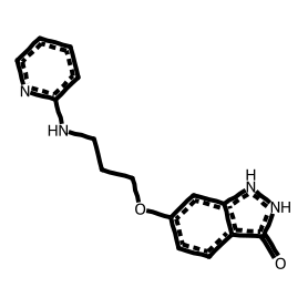 O=c1[nH][nH]c2cc(OCCCNc3ccccn3)ccc12